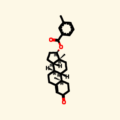 Cc1cccc(C(=O)O[C@H]2CC[C@H]3[C@@H]4CCC5=CC(=O)CC[C@]5(C)[C@H]4CC[C@]23C)c1